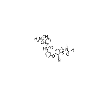 CC(C)(N)c1cccc(C(=O)Nc2cccc(Oc3ccc4nc(NC(=O)C5CC5)sc4c3C#N)c2)c1